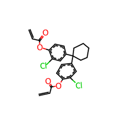 C=CC(=O)Oc1ccc(C2(c3ccc(OC(=O)C=C)c(Cl)c3)CCCCC2)cc1Cl